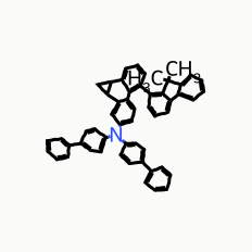 CC1(C)c2ccccc2-c2cccc(-c3cccc4c3-c3ccc(N(c5ccc(-c6ccccc6)cc5)c5ccc(-c6ccccc6)cc5)cc3C3CC43)c21